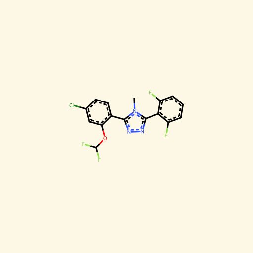 Cn1c(-c2ccc(Cl)cc2OC(F)F)nnc1-c1c(F)cccc1F